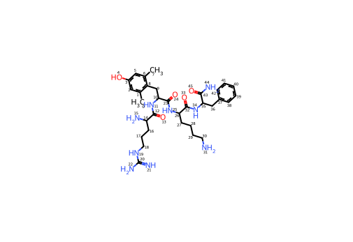 Cc1cc(O)cc(C)c1CC(NC(=O)C(N)CCCNC(=N)N)C(=O)NC(CCCCN)C(=O)NC(Cc1ccccc1)C(N)=O